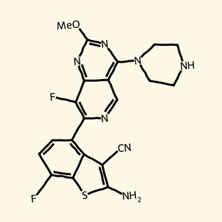 COc1nc(N2CCNCC2)c2cnc(-c3ccc(F)c4sc(N)c(C#N)c34)c(F)c2n1